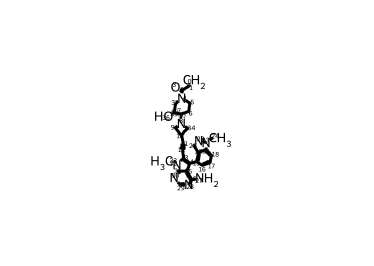 C=CC(=O)N1CC[C@@H](N2CC(C#Cc3c(-c4cccc5c4cnn5C)c4c(N)ncnc4n3C)C2)[C@@H](O)C1